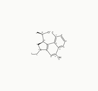 CCN1C[C@@H]([C@@H](C)Cl)c2c1cc(O)c1cccc(C)c21